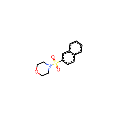 O=S(=O)(c1ccc2ccccc2c1)N1CCOCC1